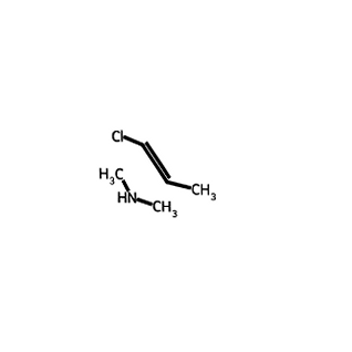 CC=CCl.CNC